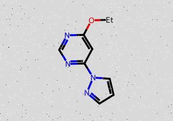 CCOc1cc(-n2cccn2)ncn1